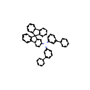 c1ccc(-c2cccc(N(c3cccc(-c4ccccc4)c3)c3ccc4c(c3)C3(c5ccccc5-c5ccccc53)c3ccccc3-4)c2)cc1